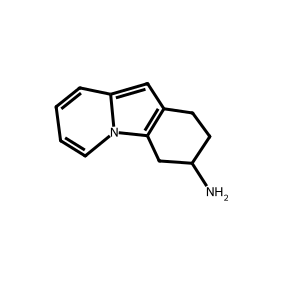 NC1CCc2cc3ccccn3c2C1